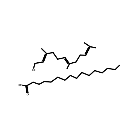 CC(C)=CCCC(C)=CCCC(C)=CCO.CCCCCCCCCCCCCCCC(=O)O